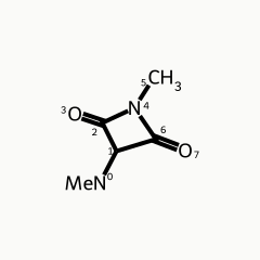 CNC1C(=O)N(C)C1=O